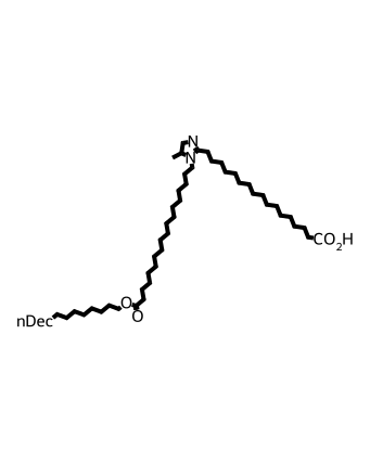 CCCCCCCCCCCCCCCCCCOC(=O)CCCCCCCCCCCCCCCCCN1C(CCCCCCCCCCCCCCCCC(=O)O)=NCC1C